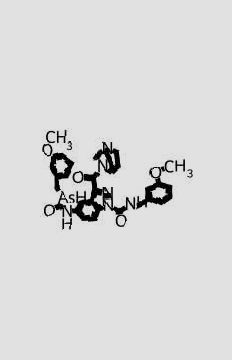 COc1cccc(CNC(=O)n2nc(C(=O)N3CCN4CCC3CC4)c3cc(NC(=O)[AsH]Cc4cccc(OC)c4)ccc32)c1